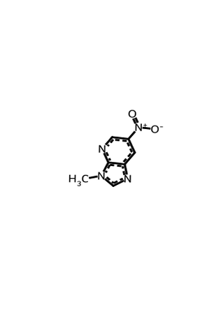 Cn1cnc2cc([N+](=O)[O-])cnc21